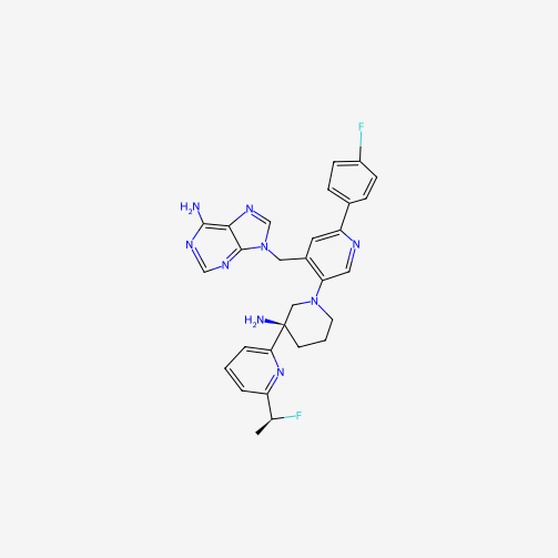 C[C@H](F)c1cccc([C@@]2(N)CCCN(c3cnc(-c4ccc(F)cc4)cc3Cn3cnc4c(N)ncnc43)C2)n1